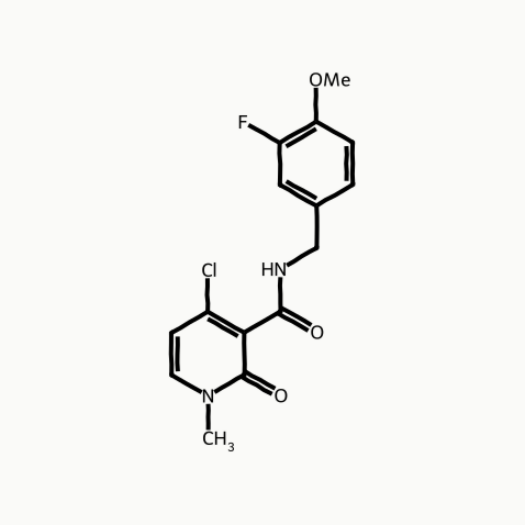 COc1ccc(CNC(=O)c2c(Cl)ccn(C)c2=O)cc1F